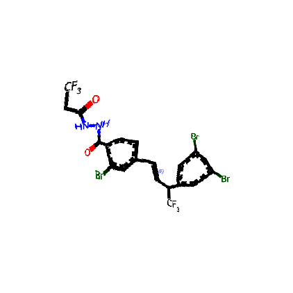 O=C(CC(F)(F)F)NNC(=O)c1ccc(/C=C/C(c2cc(Br)cc(Br)c2)C(F)(F)F)cc1Br